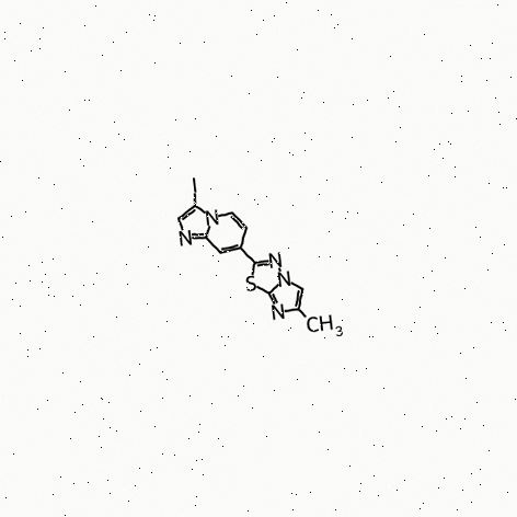 Cc1cn2nc(-c3ccn4c(I)cnc4c3)sc2n1